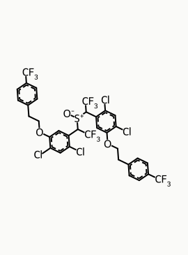 [O-][S+](C(c1cc(OCCc2ccc(C(F)(F)F)cc2)c(Cl)cc1Cl)C(F)(F)F)C(c1cc(OCCc2ccc(C(F)(F)F)cc2)c(Cl)cc1Cl)C(F)(F)F